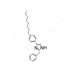 CCCCCCCCc1ccc(-c2c[nH]c(Cc3ccccc3)n2)cc1